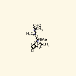 C=C/C(=C\C=C(/C)CC=O)OC/C(NC)=C(/OCC(=C)C)Sc1ccc(Cl)cn1